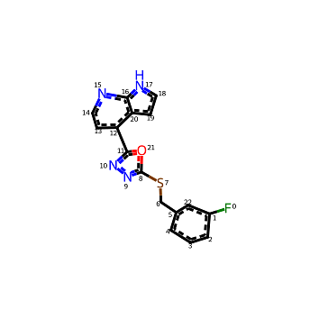 Fc1cccc(CSc2nnc(-c3ccnc4[nH]ccc34)o2)c1